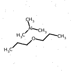 CCCOCCC.[CH3][Al]([CH3])[CH3]